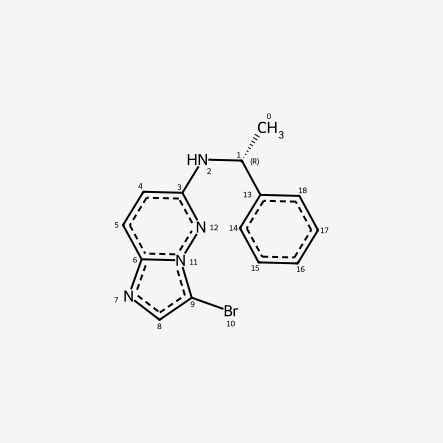 C[C@@H](Nc1ccc2ncc(Br)n2n1)c1ccccc1